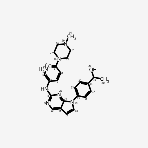 C=C(/C=C\C(=C/N)Nc1ncc2ccn(-c3ccc(C(C)O)cc3)c2n1)N1CCN(C)CC1